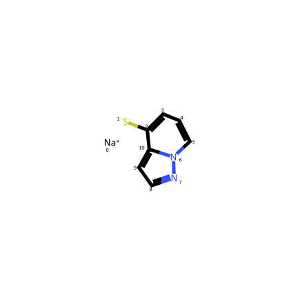 [Na+].[S-]c1cccn2nccc12